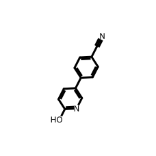 N#Cc1ccc(-c2ccc(O)nc2)cc1